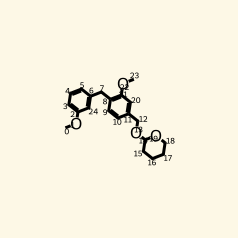 COc1cccc(Cc2ccc(COC3CCCCO3)cc2OC)c1